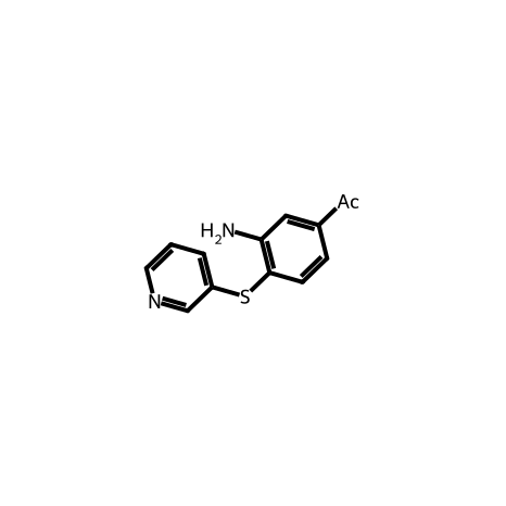 CC(=O)c1ccc(Sc2cccnc2)c(N)c1